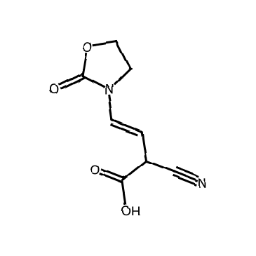 N#CC(C=CN1CCOC1=O)C(=O)O